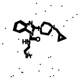 CC(C)CCNC(=O)n1c(N2CCN(CC3CC3)CC2)nc2ccccc21